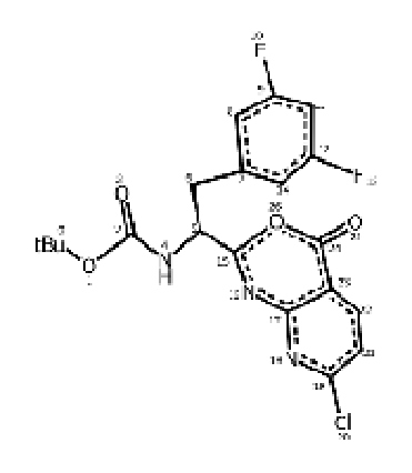 CC(C)(C)OC(=O)N[C@@H](Cc1cc(F)cc(F)c1)c1nc2nc(Cl)ccc2c(=O)o1